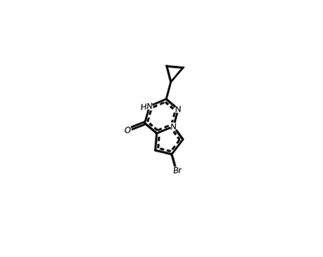 O=c1[nH]c(C2CC2)nn2cc(Br)cc12